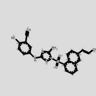 C#Cc1cc(Nc2nc(N)n(S(=O)(=O)c3cccc4cc(C=CC#N)ccc34)n2)ccc1C#N